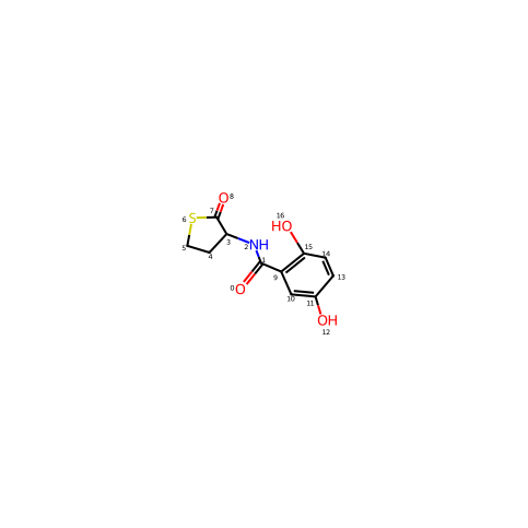 O=C(NC1CCSC1=O)c1cc(O)ccc1O